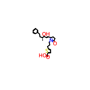 C[C@@H](CCc1ccccc1)[C@H](O)C=CC1CCC(=O)N1CCCc1ccc(C(=O)O)s1